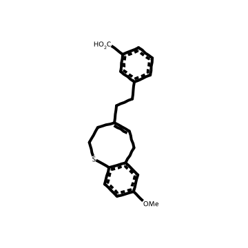 COc1ccc2c(c1)C/C=C(/CCc1cccc(C(=O)O)c1)CCS2